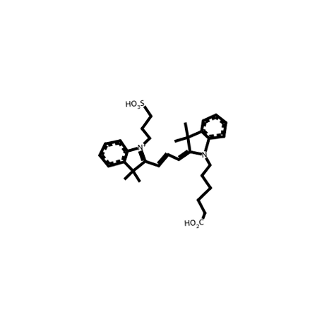 CC1(C)C(/C=C/C=C2/N(CCCCCC(=O)O)c3ccccc3C2(C)C)=[N+](CCCS(=O)(=O)O)c2ccccc21